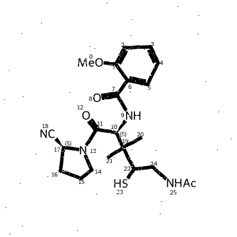 COc1ccccc1C(=O)N[C@H](C(=O)N1CCC[C@H]1C#N)C(C)(C)C(S)CNC(C)=O